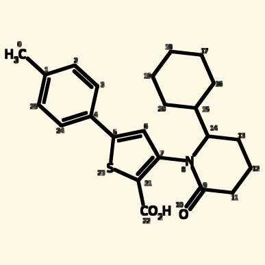 Cc1ccc(-c2cc(N3C(=O)CCCC3C3CCCCC3)c(C(=O)O)s2)cc1